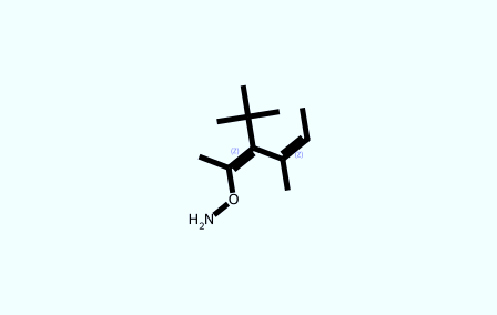 C/C=C(C)\C(=C(\C)ON)C(C)(C)C